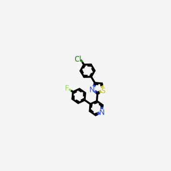 Fc1ccc(-c2ccncc2-c2nc(-c3ccc(Cl)cc3)cs2)cc1